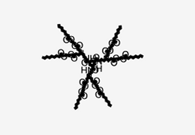 CCCCCCCCC(=O)OCCOC(=O)CCN(CCNC(=O)c1cc(C(=O)NCCN(CCC(=O)OCCOC(=O)CCCCCCC)CCC(=O)OCCOC(=O)CCCCCCC)cc(C(=O)NCCN(CCC(=O)OCCOC(=O)CCCCCCC)CCC(=O)OCCOC(=O)CCCCCCC)c1)CCC(=O)OCCOC(=O)CCCCCCC